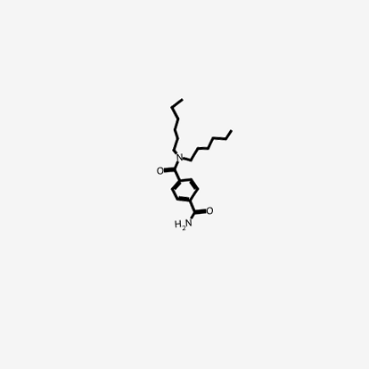 CCCCCCN(CCCCCC)C(=O)c1ccc(C(N)=O)cc1